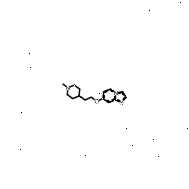 CN1CCC(CCOc2ccn3ccnc3c2)CC1